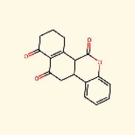 O=C1CCCC2=C1C(=O)CC1c3ccccc3OC(=O)C21